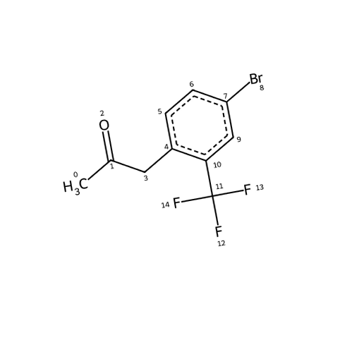 CC(=O)Cc1ccc(Br)cc1C(F)(F)F